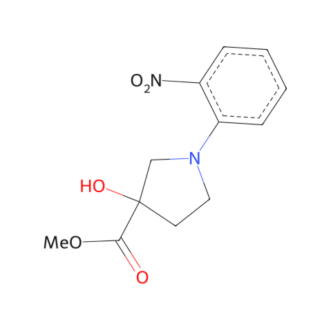 COC(=O)C1(O)CCN(c2ccccc2[N+](=O)[O-])C1